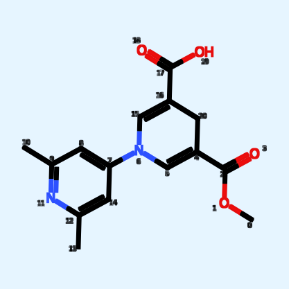 COC(=O)C1=CN(c2cc(C)nc(C)c2)C=C(C(=O)O)C1